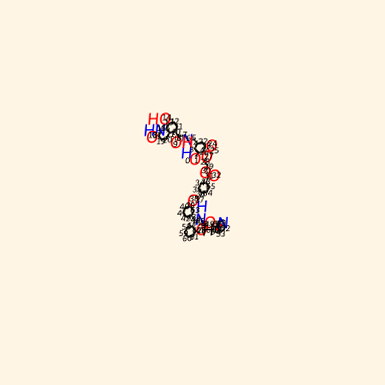 COc1cc(CNC[C@@H](O)c2ccc(O)c3[nH]c(=O)ccc23)cc(OC)c1OCCOC(=O)c1ccc(COc2cccc(C(NC(=O)O[C@H]3CN4CCC3CC4)c3ccccc3)c2)cc1